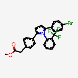 COC(=O)Cc1ccc(-c2ccc(-c3ccc(Br)cc3)n2-c2ccccc2C(F)(F)F)cc1